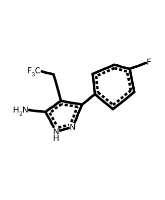 Nc1[nH]nc(-c2ccc(F)cc2)c1CC(F)(F)F